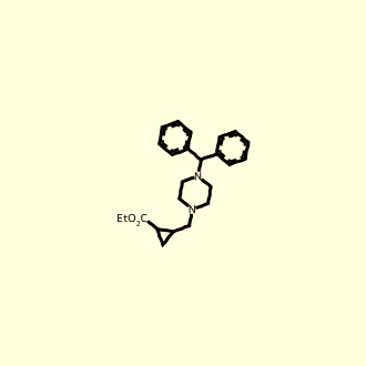 CCOC(=O)C1CC1CN1CCN(C(c2ccccc2)c2ccccc2)CC1